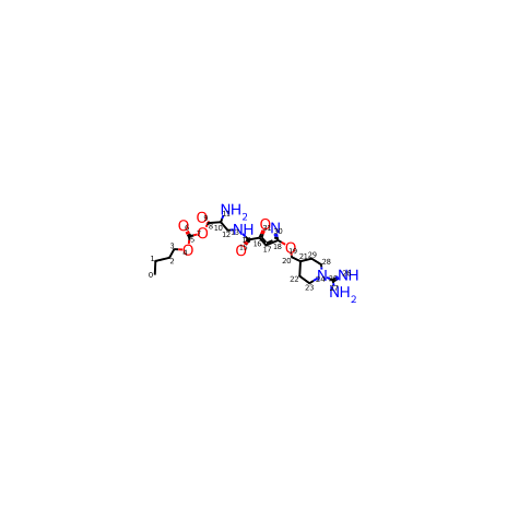 CCCCOC(=O)OC(=O)C(N)CNC(=O)c1cc(OCC2CCN(C(=N)N)CC2)no1